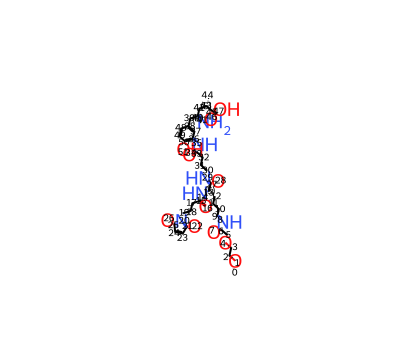 COCCOCC(=O)NCCCC[C@H](NC(=O)CCCN1C(=O)C=CC1=O)C(=O)NCCCC(=O)Nc1cc(C[C@H](N)C[C@H](C)C(=O)O)ccc1O